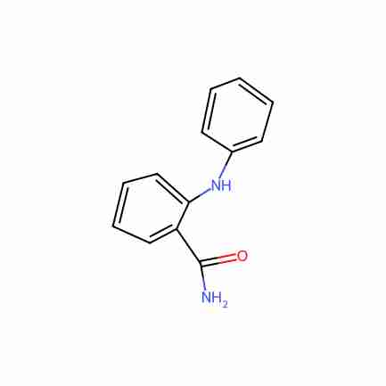 NC(=O)c1ccccc1Nc1ccccc1